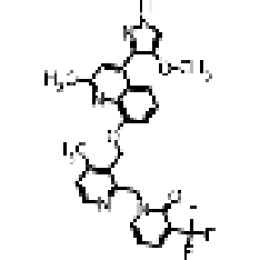 COc1c[nH]nc1-c1cc(C)nc2c(OCc3c(C)ccnc3Cn3cccc(C(F)(F)F)c3=O)cccc12